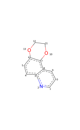 c1cnc2ccc3c(c2c1)OCCO3